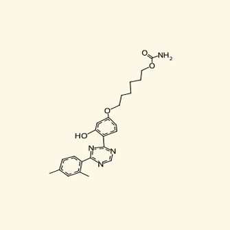 Cc1ccc(-c2ncnc(-c3ccc(OCCCCCCOC(N)=O)cc3O)n2)c(C)c1